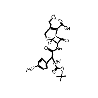 CC(C)(C)OC(=O)NC(C(=O)NC1C(=O)N2C(C(=O)O)=C(CCl)CS[C@@H]12)c1ccc(O)cc1